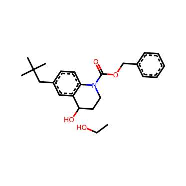 CC(C)(C)Cc1ccc2c(c1)C(O)CCN2C(=O)OCc1ccccc1.CCO